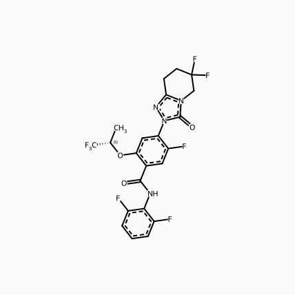 C[C@H](Oc1cc(-n2nc3n(c2=O)CC(F)(F)CC3)c(F)cc1C(=O)Nc1c(F)cccc1F)C(F)(F)F